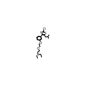 CCN(CC)CCOCCOc1cccc(-c2nc(Cl)sc2CC(C)C)c1